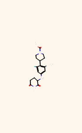 COc1cc(NC2CCC(=O)NC2=O)cc(F)c1C1CCN(C(=O)OC(C)(C)C)CC1